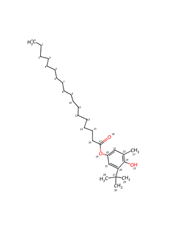 CCCCCCCCCCCCCCCCCC(=O)Oc1cc(C)c(O)c(C(C)(C)C)c1